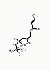 CC=CC(=O)OCC(C)C[Si](C)(C)O[Si](C)(C)C